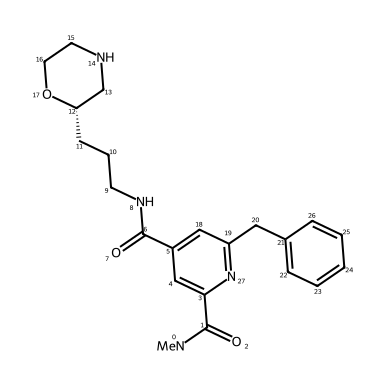 CNC(=O)c1cc(C(=O)NCCC[C@H]2CNCCO2)cc(Cc2ccccc2)n1